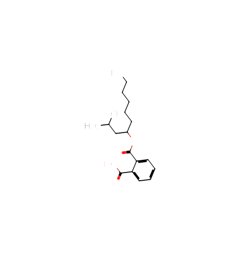 CCCCCCC(CC(C)C)OC(=O)c1ccccc1C(=O)O